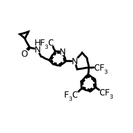 O=C(NCc1ccc(N2CCC(c3cc(C(F)(F)F)cc(C(F)(F)F)c3)(C(F)(F)F)C2)nc1C(F)(F)F)C1CC1